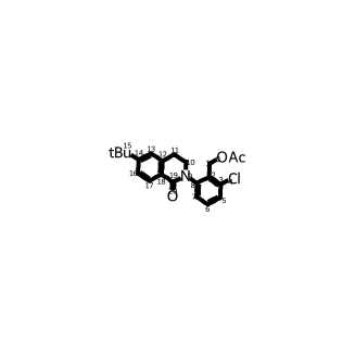 CC(=O)OCc1c(Cl)cccc1N1CCc2cc(C(C)(C)C)ccc2C1=O